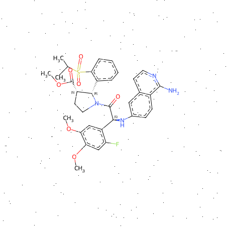 COC(=O)[C@H]1CCN(C(=O)[C@@H](Nc2ccc3c(N)nccc3c2)c2cc(OC)c(OC)cc2F)[C@H]1c1ccccc1S(=O)(=O)C(C)C